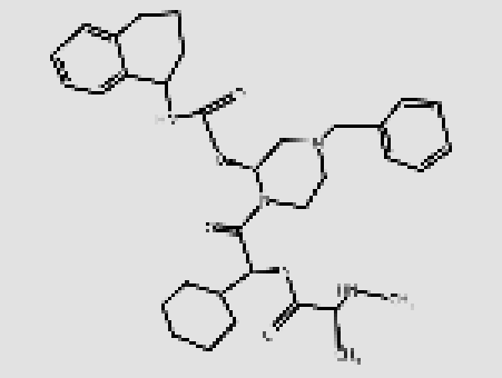 CN[C@@H](C)C(=O)N[C@H](C(=O)N1CCN(Cc2ccccc2)C[C@@H]1OC(=O)NC1CCCc2ccccc21)C1CCCCC1